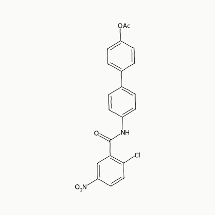 CC(=O)Oc1ccc(-c2ccc(NC(=O)c3cc([N+](=O)[O-])ccc3Cl)cc2)cc1